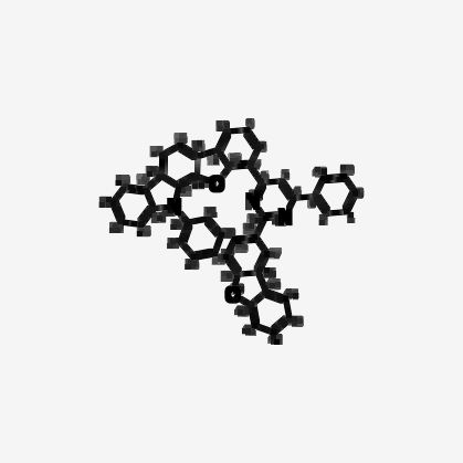 c1ccc(-c2cc(-c3cccc4c3oc3c4ccc4c5ccccc5n(-c5ccccc5)c43)nc(-c3ccc4oc5ccccc5c4c3)n2)cc1